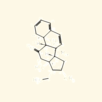 CC[C@H]1[C@@H](C)C[C@H]2[C@@H]3C=CC4=CC=CC[C@]4(C)[C@H]3C(=O)C[C@@]21C